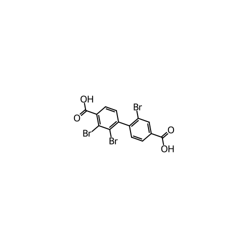 O=C(O)c1ccc(-c2ccc(C(=O)O)c(Br)c2Br)c(Br)c1